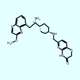 COc1cnc2cccc(C[C@H](N)[C@H]3CC[C@H](NCc4ccc5c(n4)NC(=O)CS5)CC3)c2n1